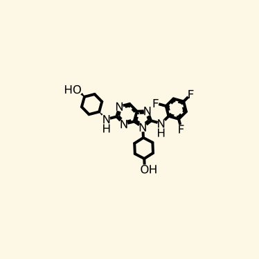 OC1CCC(n2c(Nc3c(F)cc(F)cc3F)nc3cnc(N[C@H]4CC[C@H](O)CC4)nc32)CC1